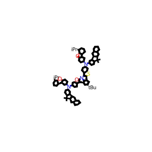 CC(C)c1cccc2c1oc1ccc(N(c3ccc4c(c3)-c3cc5ccccc5cc3C4(C)C)c3ccc4c(c3)oc3c4c4cc(C(C)(C)C)cc5c6sc7cc(N(c8ccc9c(c8)-c8cc%10ccccc%10cc8C9(C)C)c8ccc9oc%10c(C(C)C)cccc%10c9c8)ccc7c6n3c54)cc12